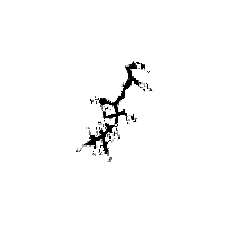 C#C/C(=C\C=C(/C)C=C)C(CC)(CC)OC(C)(C)C(O)(C(F)(F)F)C(F)(F)F